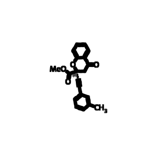 COC(=O)[C@]1(C#Cc2cccc(C)c2)CC(=O)c2ccccc2O1